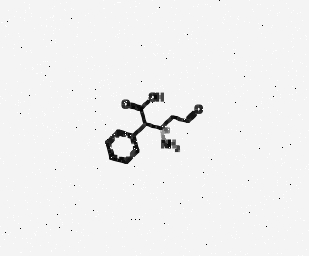 N[C@@H](CC=O)C(C(=O)O)c1ccccc1